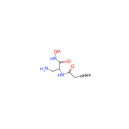 CCCCCCCC(=O)NC(CN)C(=O)NO